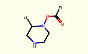 CCC(=O)ON1CCNCC1CC